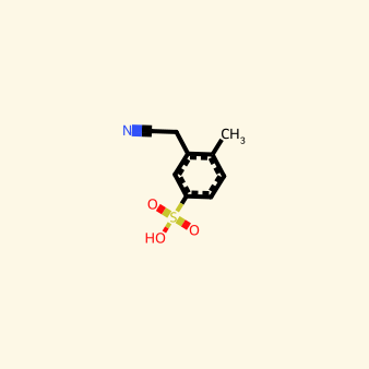 Cc1ccc(S(=O)(=O)O)cc1CC#N